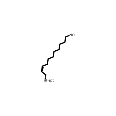 CCCCCCCC/C=C\CCCCCCCCN=O